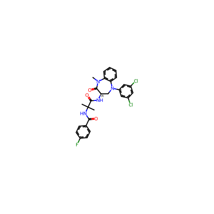 CN1C(=O)[C@H](NC(=O)C(C)(C)NC(=O)c2ccc(F)cc2)CN(c2cc(Cl)cc(Cl)c2)c2ccccc21